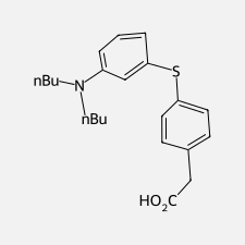 CCCCN(CCCC)c1cccc(Sc2ccc(CC(=O)O)cc2)c1